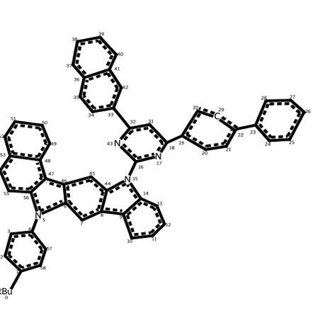 CC(C)(C)c1ccc(-n2c3cc4c5ccccc5n(-c5nc(-c6ccc(-c7ccccc7)cc6)cc(-c6ccc7ccccc7c6)n5)c4cc3c3c4ccccc4ccc32)cc1